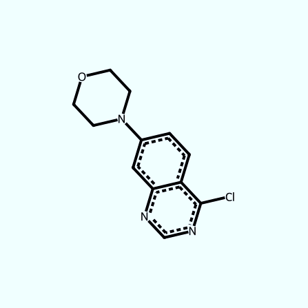 Clc1ncnc2cc(N3CCOCC3)ccc12